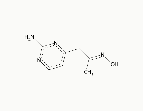 C/C(Cc1ccnc(N)n1)=N\O